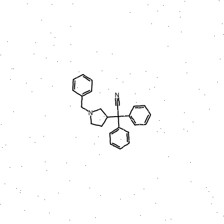 N#CC(c1ccccc1)(c1ccccc1)C1CCN(Cc2ccccc2)C1